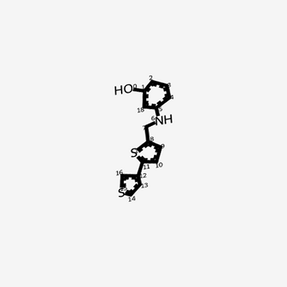 Oc1cccc(NCc2ccc(-c3ccsc3)s2)c1